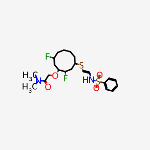 CN(C)C(=O)COC1CC(F)CCCCC(S/C=C/NS(=O)(=O)c2ccccc2)CC1F